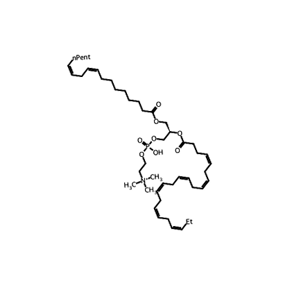 CC/C=C\C/C=C\C/C=C\C/C=C\C/C=C\C/C=C\CCC(=O)O[C@H](COC(=O)CCCCCCC/C=C\C/C=C\CCCCC)COP(=O)(O)OCC[N+](C)(C)C